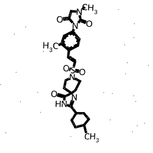 Cc1cc(N2C(=O)CN(C)C2=O)ccc1C=CS(=O)(=O)N1CCC2(CC1)N=C(C1CCC(C)CC1)NC2=O